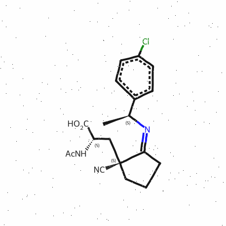 CC(=O)N[C@@H](C[C@@]1(C#N)CCCC1=N[C@@H](C)c1ccc(Cl)cc1)C(=O)O